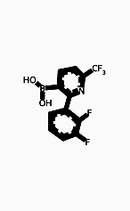 OB(O)c1ccc(C(F)(F)F)nc1-c1cccc(F)c1F